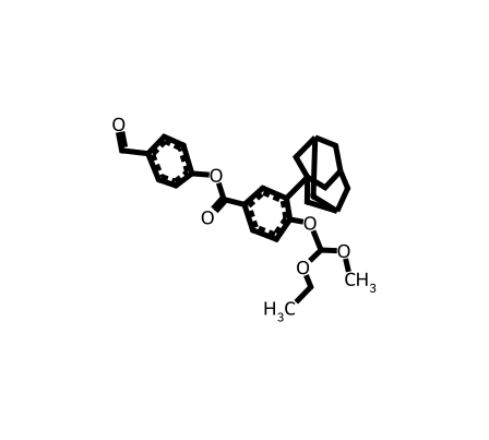 CCOC(OC)Oc1ccc(C(=O)Oc2ccc(C=O)cc2)cc1C12CC3CC(CC(C3)C1)C2